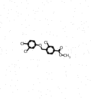 COC(=O)c1ccc(COc2ccc(Cl)c(Cl)c2)c(Cl)c1